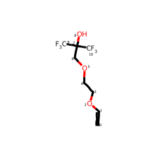 C=COCCOCC(O)(C(F)(F)F)C(F)(F)F